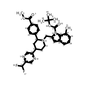 COC(=O)c1ccc(C2CC(c3cnc(C(F)F)cn3)CCN2Cc2cc3cccc(C)c3n2C(=O)OC(C)(C)C)cc1